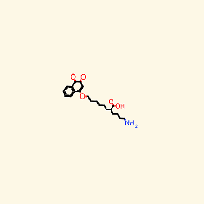 NCCCCC(CCCCCCOC1=CC(=O)C(=O)c2ccccc21)C(=O)O